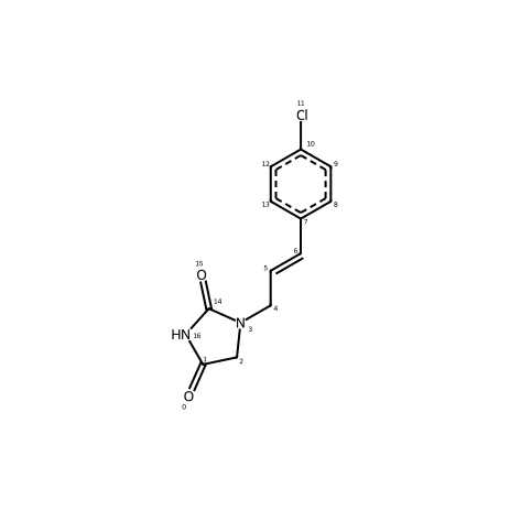 O=C1CN(C/C=C/c2ccc(Cl)cc2)C(=O)N1